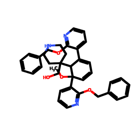 COC1(c2cccnc2OCc2ccccc2)C=CC=C(c2cccnc2OCc2ccccc2)C1C1(CO)CCNCC1